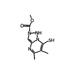 COC(=O)N1C=C2N=C(C)C(C)=C(S)N2N1